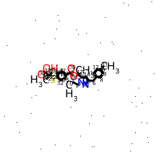 CCCn1nc(Cc2ccc(C)cc2)cc1C(C)OC(=O)c1ccc(SC(C)(C)C(=O)O)cc1